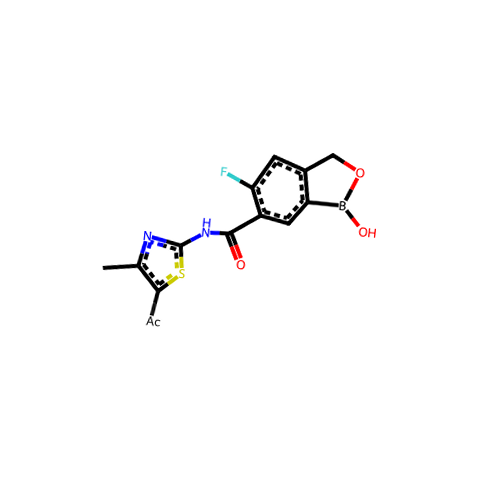 CC(=O)c1sc(NC(=O)c2cc3c(cc2F)COB3O)nc1C